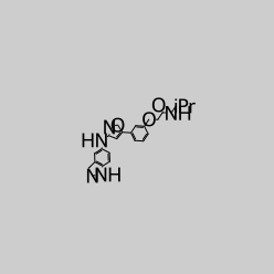 CC(C)NC(=O)COc1cccc(-c2cc(Nc3ccc4[nH]ncc4c3)no2)c1